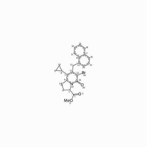 COC(=O)C1CSc2c(C3CC3)c(Cc3cccc4ccccc34)c(Br)c(=O)n21